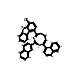 Clc1ccc(/C2=N/C(c3ccc4ccccc4c3)=N\C(c3cccc4ccccc34)=C/CC2)c2c1oc1ccccc12